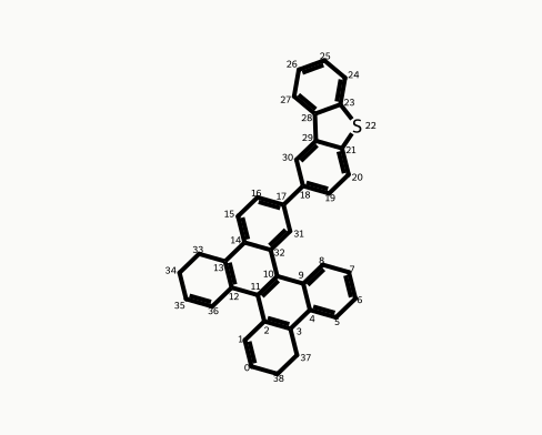 C1=Cc2c(c3ccccc3c3c2c2c(c4ccc(-c5ccc6sc7ccccc7c6c5)cc43)CCC=C2)CC1